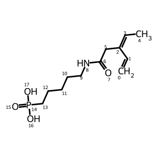 C=C/C(=C\C)CC(=O)NCCCCCP(=O)(O)O